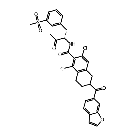 CC(=O)[C@H](Cc1cccc(S(C)(=O)=O)c1)NC(=O)c1c(Cl)cc2c(c1Cl)CCC(C(=O)c1ccc3ccoc3c1)C2